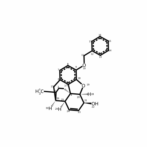 CC1CC[C@]23c4c5ccc(OCc6ccccc6)c4O[C@H]2[C@@H](O)C=C[C@H]3[C@H]1C5